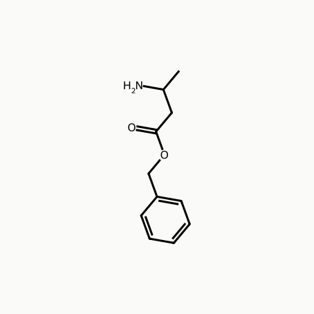 CC(N)CC(=O)OCc1ccccc1